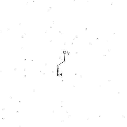 [CH2]CC=N